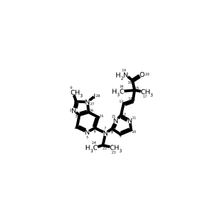 Cc1nc2cnc(N(c3ccnc(/C=C/C(C)(C)C(N)=O)n3)C(C)C)cc2n1I